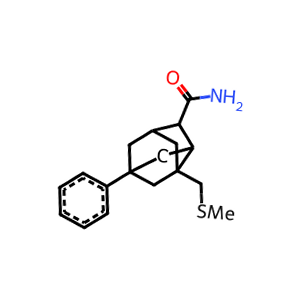 CSCC12CC3CC(c4ccccc4)(CC1C3C(N)=O)C2